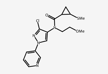 COCCN(C(=O)C1CC1SC)c1cn(-c2cccnc2)nc1Cl